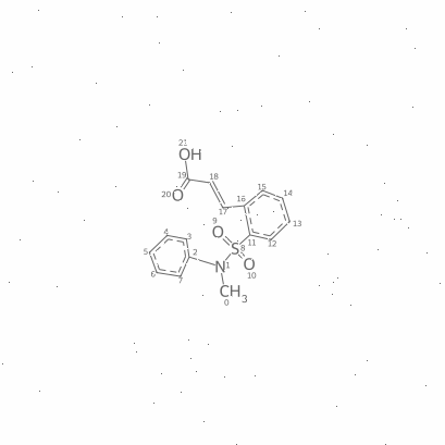 CN(c1ccccc1)S(=O)(=O)c1ccccc1C=CC(=O)O